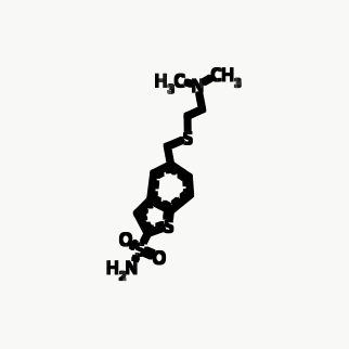 CN(C)CCSCc1ccc2sc(S(N)(=O)=O)cc2c1